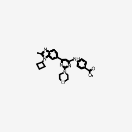 COC(=O)c1ccc(Nc2cc(-c3ccc4nc(C)n(C5CCC5)c4c3)nc(N3CCOCC3)n2)cc1